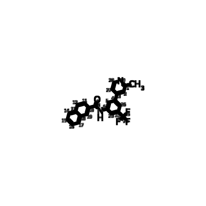 Cc1cc(-c2cc(NC(=O)c3ccc4ccccc4c3)cc(C(F)(F)F)c2)ccn1